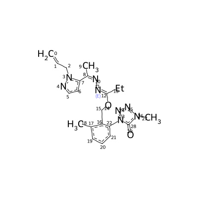 C=CCn1nccc1C(C)=N/N=C(\CC)OCc1c(C)cccc1-n1nnn(C)c1=O